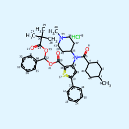 CC1CCC(C(=O)N(c2cc(-c3ccccc3)sc2C(=O)OC(OC(=O)C(C)(C)C)c2ccccc2)C2CCN(C)CC2)CC1.Cl